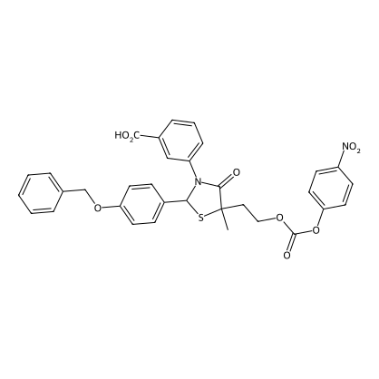 CC1(CCOC(=O)Oc2ccc([N+](=O)[O-])cc2)SC(c2ccc(OCc3ccccc3)cc2)N(c2cccc(C(=O)O)c2)C1=O